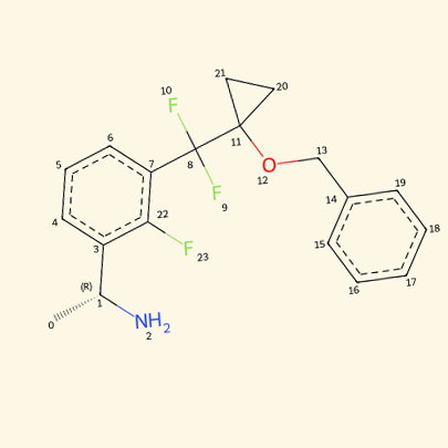 C[C@@H](N)c1cccc(C(F)(F)C2(OCc3ccccc3)CC2)c1F